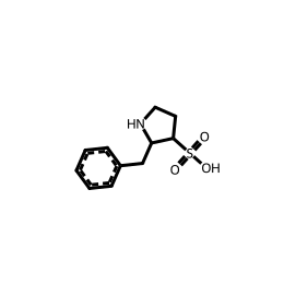 O=S(=O)(O)C1CCNC1Cc1ccccc1